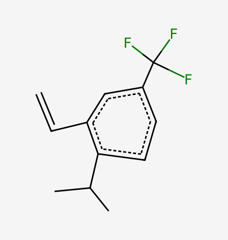 C=Cc1cc(C(F)(F)F)ccc1C(C)C